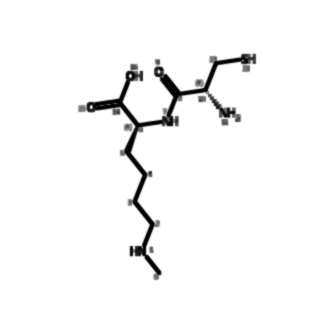 CNCCCC[C@H](NC(=O)[C@@H](N)CS)C(=O)O